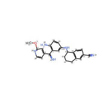 COc1cc(C(=N)c2cc(NC3CCCc4cc(C#N)ccc43)ccc2N)ccn1